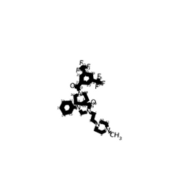 CN1CCN(CCN2CN(c3ccccc3)C3(CCN(C(=O)c4cc(C(F)(F)F)cc(C(F)(F)F)c4)CC3)C2=O)CC1